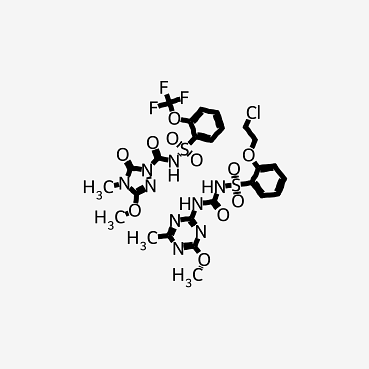 COc1nc(C)nc(NC(=O)NS(=O)(=O)c2ccccc2OCCCl)n1.COc1nn(C(=O)NS(=O)(=O)c2ccccc2OC(F)(F)F)c(=O)n1C